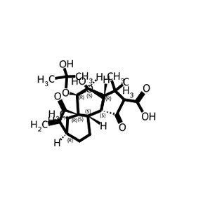 C=C1C(=O)[C@]23[C@H](C)[C@H]1CC[C@H]2[C@@]12CO[C@]3(OC(C)(C)O)[C@@H](O)[C@@H]1C(C)(C)C(C(=O)O)C2=O